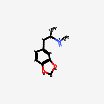 CCCN[C@H](CCC)Cc1ccc2c(c1)OCO2